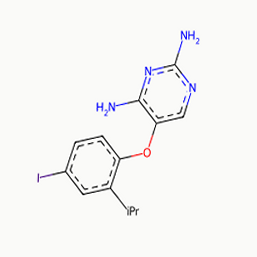 CC(C)c1cc(I)ccc1Oc1cnc(N)nc1N